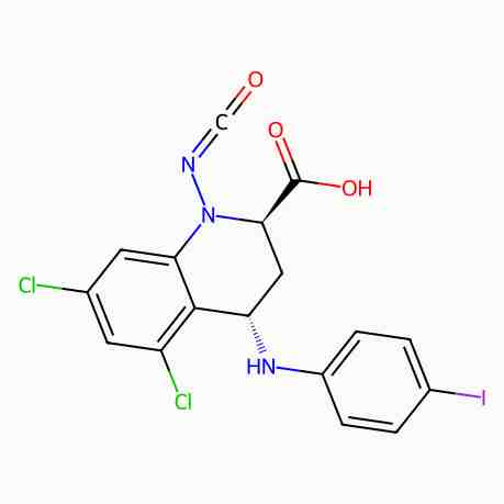 O=C=NN1c2cc(Cl)cc(Cl)c2[C@@H](Nc2ccc(I)cc2)C[C@@H]1C(=O)O